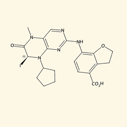 CN1C(=O)[C@H](I)N(C2CCCC2)c2nc(Nc3ccc(C(=O)O)c4c3OCC4)ncc21